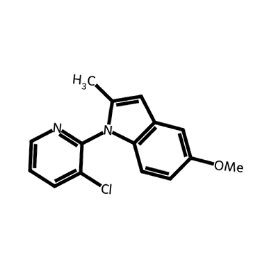 COc1ccc2c(c1)cc(C)n2-c1ncccc1Cl